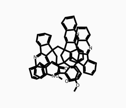 COC(=O)CCC1(CC2(CC3(CC4(CCC(=O)OC)c5ccccc5-c5nc6ccccc6cc54)c4ccccc4-c4nc5ccccc5cc43)c3ccccc3-c3nc4ccccc4cc32)c2ccccc2-c2nc3ccccc3cc21